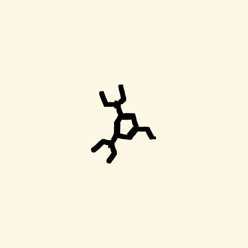 [CH2]Cc1cc(N(CC)CC)cc(N(CC)CC)c1